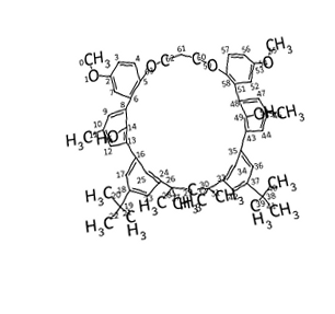 COc1ccc2c(c1)-c1cc(C)cc(c1O)-c1cc(C(C)(C)C)cc(c1)C(C)(C)CC(C)(C)c1cc(cc(C(C)(C)C)c1)-c1cc(C)cc(c1O)-c1cc(OC)ccc1OCCCO2